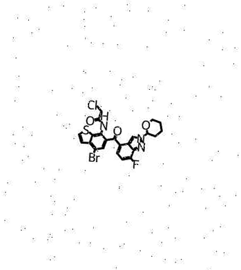 O=C(CCl)Nc1c(C(=O)c2ccc(F)c3nn(C4CCCCO4)cc23)cc(Br)c2ccsc12